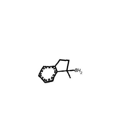 BC1(C)CCc2ccccc21